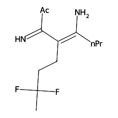 CCC/C(N)=C(\CCC(C)(F)F)C(=N)C(C)=O